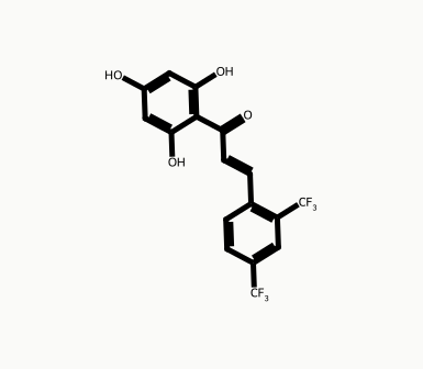 O=C(/C=C/c1ccc(C(F)(F)F)cc1C(F)(F)F)c1c(O)cc(O)cc1O